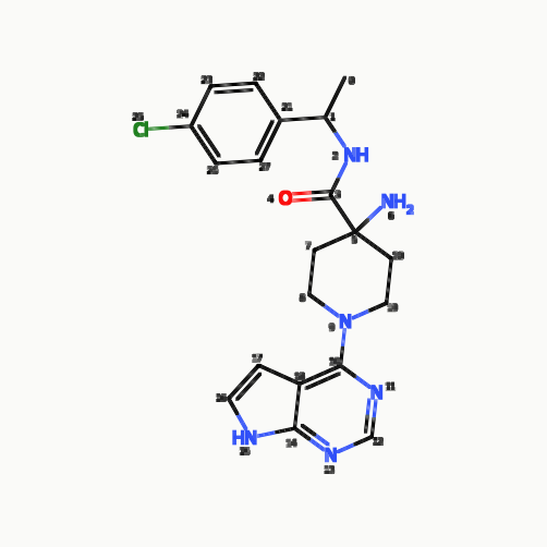 CC(NC(=O)C1(N)CCN(c2ncnc3[nH]ccc23)CC1)c1ccc(Cl)cc1